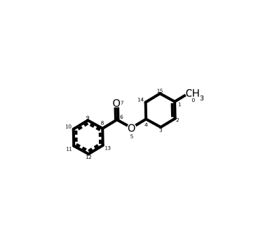 CC1=CCC(OC(=O)c2ccccc2)CC1